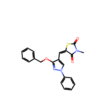 CN1C(=O)SC(=Cc2cn(-c3ccccc3)nc2OCc2ccccc2)C1=O